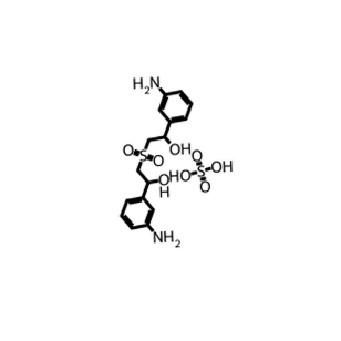 Nc1cccc(C(O)CS(=O)(=O)CC(O)c2cccc(N)c2)c1.O=S(=O)(O)O